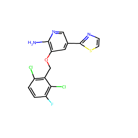 Nc1ncc(-c2nccs2)cc1OCc1c(Cl)ccc(F)c1Cl